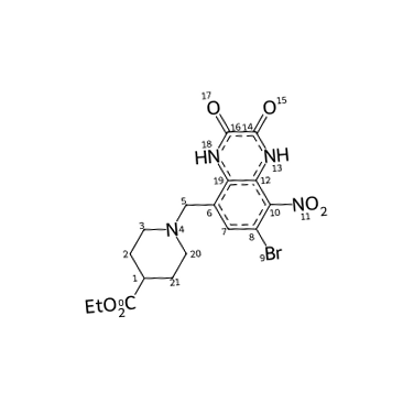 CCOC(=O)C1CCN(Cc2cc(Br)c([N+](=O)[O-])c3[nH]c(=O)c(=O)[nH]c23)CC1